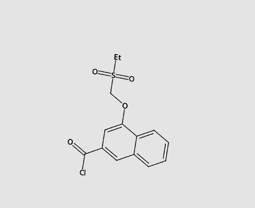 CCS(=O)(=O)COc1cc(C(=O)Cl)cc2ccccc12